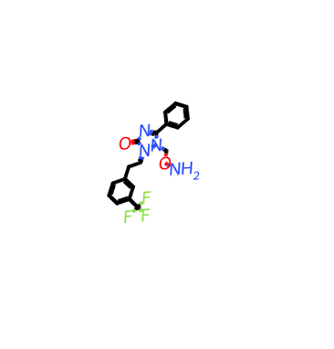 NOCN1C(c2ccccc2)=NC(=O)[N+]1=CCc1cccc(C(F)(F)F)c1